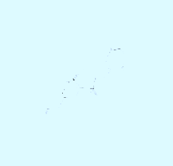 O=CC[C@@H](O)CC(C(=O)O)C(=O)COC1CCCOC1